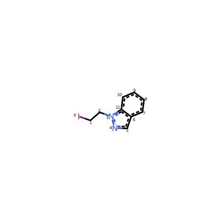 ICCn1ncc2ccccc21